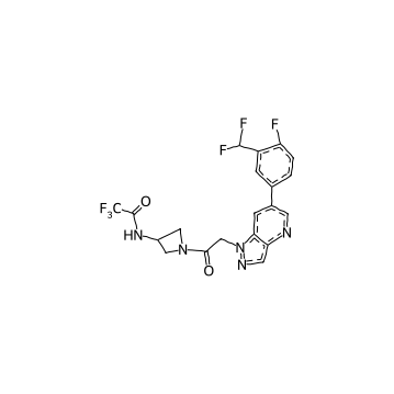 O=C(Cn1ncc2ncc(-c3ccc(F)c(C(F)F)c3)cc21)N1CC(NC(=O)C(F)(F)F)C1